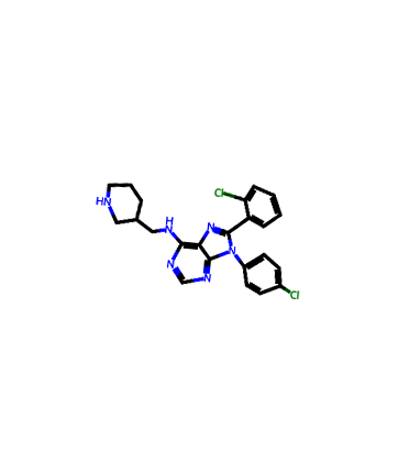 Clc1ccc(-n2c(-c3ccccc3Cl)nc3c(NCC4CCCNC4)ncnc32)cc1